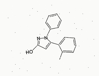 Cc1ccccc1-c1cc(O)nn1-c1ccccc1